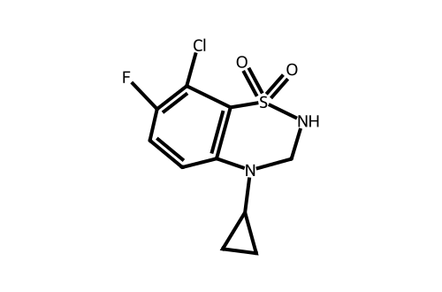 O=S1(=O)NCN(C2CC2)c2ccc(F)c(Cl)c21